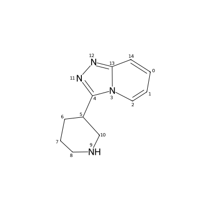 c1ccn2c(C3CCCNC3)nnc2c1